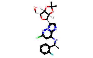 C[C@H](Nc1cc(Cl)nn2c([C@@H]3O[C@H](CO)[C@H]4OC(C)(C)O[C@H]43)cnc12)c1ccccc1F